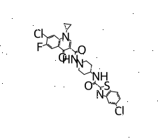 O=C(NC1CCN(NC(=O)c2cn(C3CC3)c3cc(Cl)c(F)cc3c2=O)CC1)c1nc2cc(Cl)ccc2s1